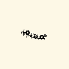 Cc1cc(C[n+]2cc([N-]C(=O)Nc3cccc(C(F)(F)F)c3)on2)ccc1Br